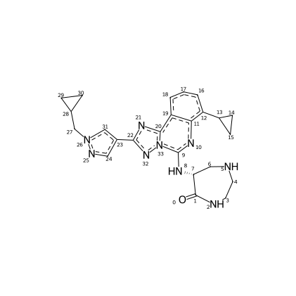 O=C1NCCNC[C@H]1Nc1nc2c(C3CC3)cccc2c2nc(-c3cnn(CC4CC4)c3)nn12